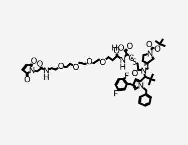 CC(C)(C)OC(=O)N1CC[C@H](CN(C(=O)CSCC(NC(=O)CCOCCOCCOCCOCCNC(=O)CN2C(=O)C=CC2=O)C(=O)O)C(c2cc(-c3cc(F)ccc3F)cn2Cc2ccccc2)C(C)(C)C)C1